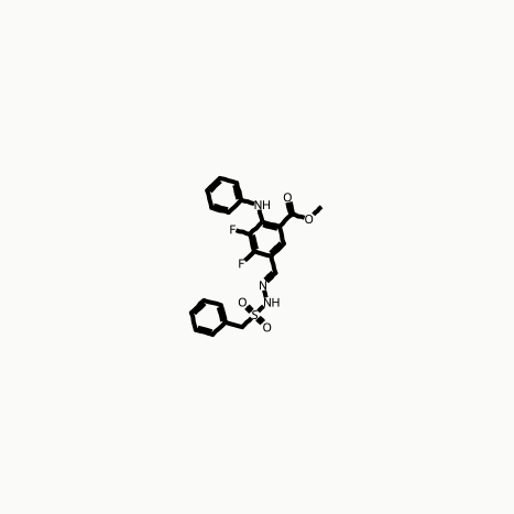 COC(=O)c1cc(/C=N/NS(=O)(=O)Cc2ccccc2)c(F)c(F)c1Nc1ccccc1